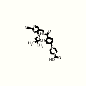 CC(C)(C)CNc1nc(C#N)ncc1CNC(=O)c1ccc(N2CCN(C(=O)O)CC2)cc1